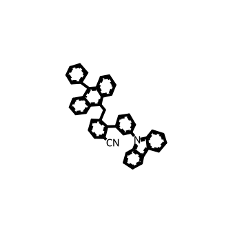 N#Cc1cccc(Cc2c3ccccc3c(-c3ccccc3)c3ccccc23)c1-c1cccc(-n2c3ccccc3c3ccccc32)c1